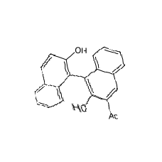 CC(=O)c1cc2ccccc2c(-c2c(O)ccc3ccccc23)c1O